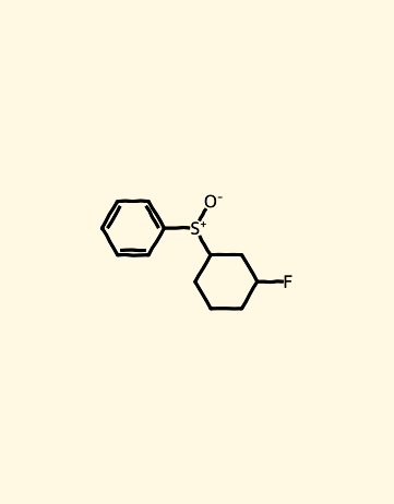 [O-][S+](c1ccccc1)C1CCCC(F)C1